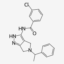 CC(c1ccccc1)N1Cc2n[nH]c(NC(=O)c3cccc(Cl)c3)c2C1